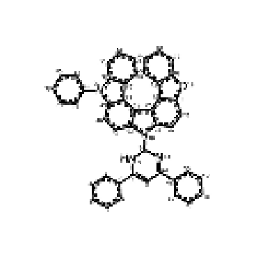 C1=C(c2ccccc2)NC(n2c3ccc4oc5ccccc5c4c3c3c4c5ccccc5n(-c5ccccc5)c4ccc32)N=C1c1ccccc1